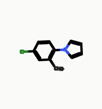 O=[C]c1cc(Cl)ccc1-n1cccc1